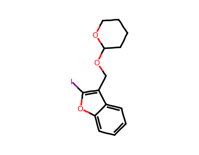 Ic1oc2ccccc2c1COC1CCCCO1